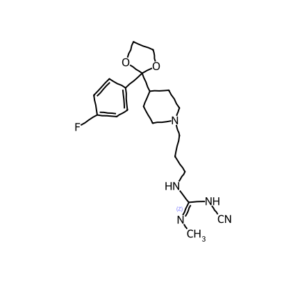 C/N=C(\NC#N)NCCCN1CCC(C2(c3ccc(F)cc3)OCCO2)CC1